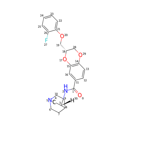 O=C(N[C@H]1CN2CCC1CC2)c1ccc2c(c1)O[C@H](COc1ccccc1F)CO2